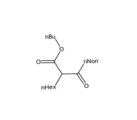 CCCCCCCCCC(=O)C(CCCCCC)C(=O)OCCCC